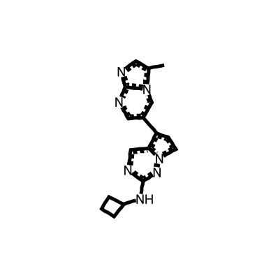 Cc1cnc2ncc(-c3ccn4nc(NC5CCC5)ncc34)cn12